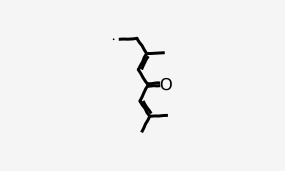 [CH2]CC(C)=CC(=O)C=C(C)C